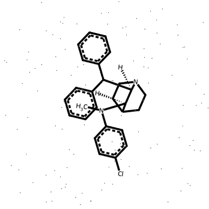 CN(c1ccc(Cl)cc1)[C@@H]1C2CCN(CC2)[C@@H]1C(c1ccccc1)c1ccccc1